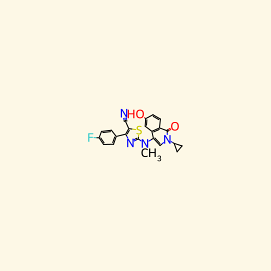 CN(c1nc(-c2ccc(F)cc2)c(C#N)s1)c1cn(C2CC2)c(=O)c2ccc(O)cc12